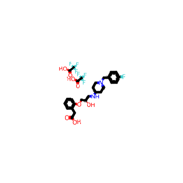 O=C(O)C(F)(F)F.O=C(O)C(F)(F)F.O=C(O)Cc1ccccc1OC[C@@H](O)CNC1CCN(Cc2ccc(F)cc2)CC1